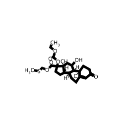 CCOC(=O)OC1(C(=O)OCSC)CC[C@H]2[C@@H]3CCC4=CC(=O)CC[C@]4(C)[C@@H]3C(O)C[C@@]21C